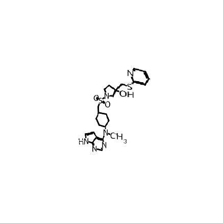 CN(c1ncnc2[nH]ccc12)C1CCC(CS(=O)(=O)N2CCC(O)(CSc3ccccn3)C2)CC1